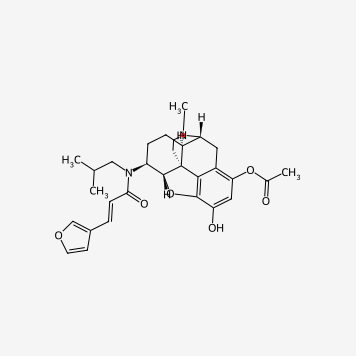 CC(=O)Oc1cc(O)c2c3c1C[C@@H]1[C@@H]4CC[C@H](N(CC(C)C)C(=O)C=Cc5ccoc5)[C@@H](O2)[C@]34CCN1C